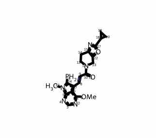 COc1ncnc2c1c(/C=C/C(=O)N1CCc3nc(C4CC4)oc3C1)c(P)n2C